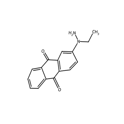 CCN(N)c1ccc2c(c1)C(=O)c1ccccc1C2=O